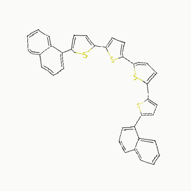 c1ccc2c(-c3ccc(-c4ccc(-c5ccc(-c6ccc(-c7cccc8ccccc78)s6)s5)s4)s3)cccc2c1